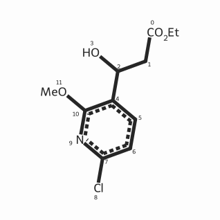 CCOC(=O)CC(O)c1ccc(Cl)nc1OC